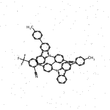 Cc1ccc(-c2ccc3c(c2)c2ccccc2n3-c2ccc(C#N)cc2-c2cc(-c3ccc(C(F)(F)F)cc3C#N)ccc2-n2c3ccccc3c3cc(-c4ccc(C)cc4)ccc32)cc1